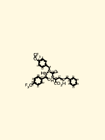 O=C(NN(Cc1ccc(OC(F)(F)F)cc1)C(=O)NC(CSCc1ccccc1)C(=O)O)c1ccc(C(F)(F)F)cc1